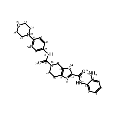 Nc1ccccc1NC(=O)c1nc2c(s1)CN(C(=O)Nc1ccc(N3CCOCC3)nc1)CC2